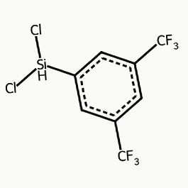 FC(F)(F)c1cc([SiH](Cl)Cl)cc(C(F)(F)F)c1